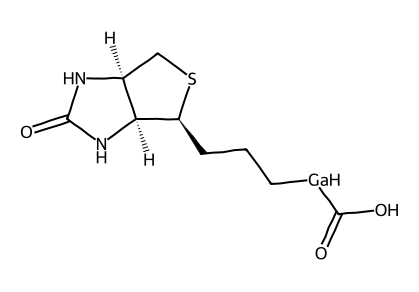 O=C1N[C@H]2[C@H](CS[C@H]2CC[CH2][GaH][C](=O)O)N1